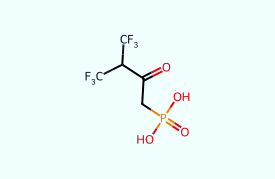 O=C(CP(=O)(O)O)C(C(F)(F)F)C(F)(F)F